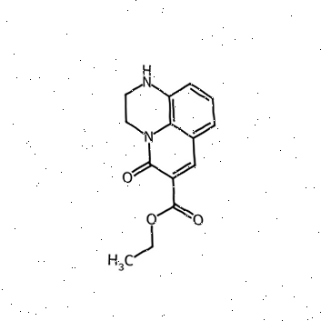 CCOC(=O)c1cc2cccc3c2n(c1=O)CCN3